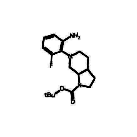 CC(C)(C)OC(=O)N1CCC2CCN(c3c(N)cccc3F)CC21